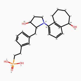 O=P(O)(O)CCc1cccc(CC2C(O)CCN2c2cccc3c2CCCCC3O)c1